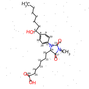 CCCCCCC(O)c1ccc(N2C(=O)N(C)C(=O)C2CCCCCCC(=O)O)cc1